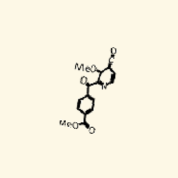 COC(=O)c1ccc(C(=O)C2=NC=CC(=C=O)C2OC)cc1